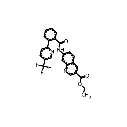 CCOC(=O)c1cnc2cc(NC(=O)c3ccccc3-c3ccc(C(F)(F)F)cn3)ccc2c1